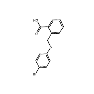 O=C(O)c1ccccc1CSc1ccc(Br)cc1